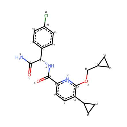 NC(=O)[C@@H](NC(=O)c1ccc(C2CC2)c(OCC2CC2)n1)c1ccc(Cl)cc1